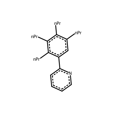 CCCc1cc(-c2ccccn2)c(CCC)c(CCC)c1CCC